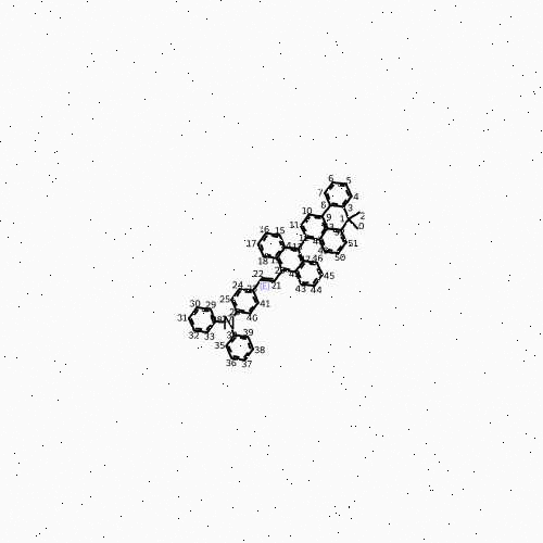 CC1(C)c2ccccc2-c2ccc(-c3c4ccccc4c(/C=C/c4ccc(N(c5ccccc5)c5ccccc5)cc4)c4ccccc34)c3cccc1c23